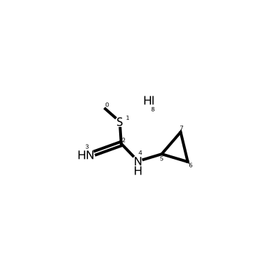 CSC(=N)NC1CC1.I